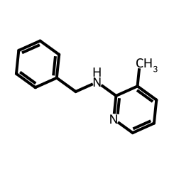 Cc1cccnc1NCc1ccccc1